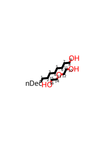 CCCCCCCCCCCCCCCCCCO.OCCOCCO